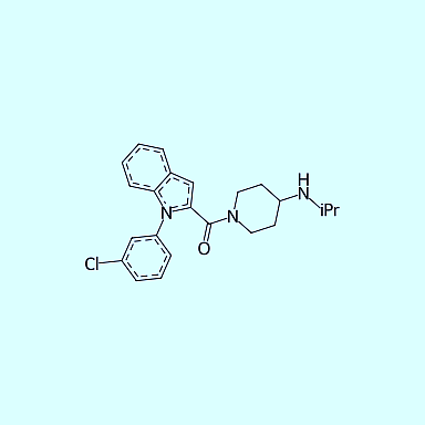 CC(C)NC1CCN(C(=O)c2cc3ccccc3n2-c2cccc(Cl)c2)CC1